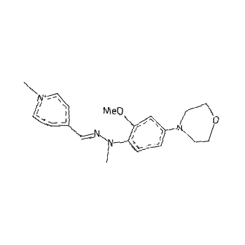 COc1cc(N2CCOCC2)ccc1N(C)/N=C/c1cc[n+](C)cc1